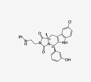 CC(C)NCCN1C(=O)N2[C@H](c3cccc(O)c3)c3[nH]c4ccc(Cl)cc4c3C[C@@]2(C)C1=O